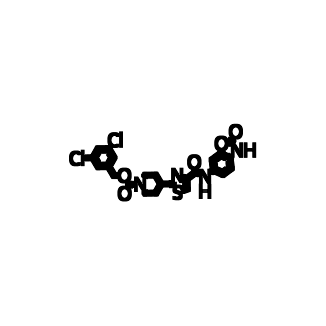 O=C(Nc1ccc2[nH]c(=O)oc2c1)c1csc(C2CCN(C(=O)OCc3cc(Cl)cc(Cl)c3)CC2)n1